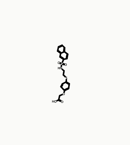 O=C(O)COc1ccc(SCCNS(=O)(=O)c2ccc3ccccc3c2)cc1